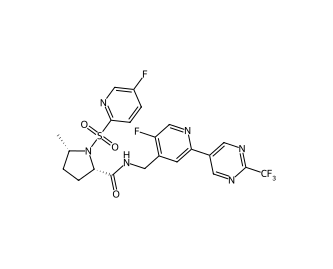 C[C@H]1CC[C@@H](C(=O)NCc2cc(-c3cnc(C(F)(F)F)nc3)ncc2F)N1S(=O)(=O)c1ccc(F)cn1